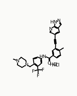 Cc1ccc(C(=O)Nc2ccc(CN3CCN(C)CC3)c(C(F)(F)F)c2)cc1C#Cc1cnc2[nH]ncc2c1.Cl.Cl